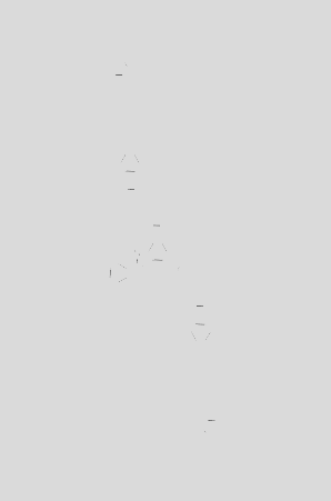 C=CC(=O)OCCCCCCOc1ccc(OC(=O)C2CCC(C(=O)Oc3ccc(OC(=O)C4CCC(C(=O)Oc5ccc(OCCCCCCOC(=O)C=C)cc5)CC4)c4sc(-c5ccccc5)nc34)CC2)cc1